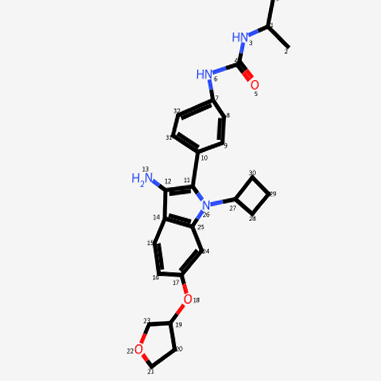 CC(C)NC(=O)Nc1ccc(-c2c(N)c3ccc(OC4CCOC4)cc3n2C2CCC2)cc1